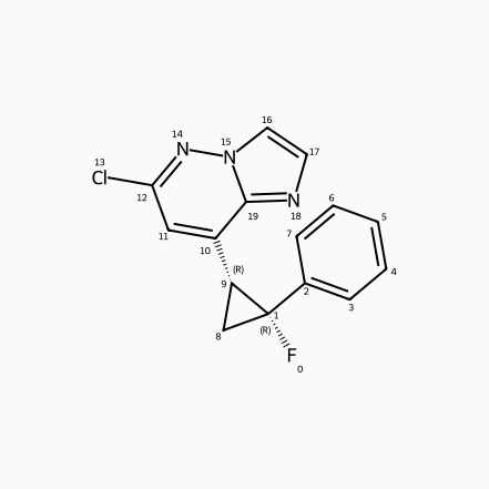 F[C@]1(c2ccccc2)C[C@@H]1c1cc(Cl)nn2ccnc12